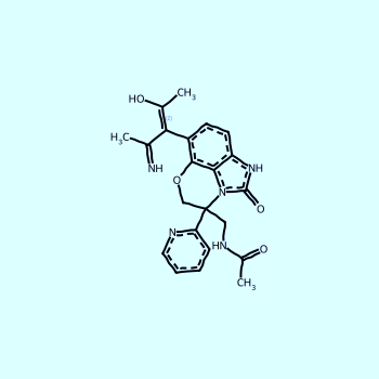 CC(=N)/C(=C(/C)O)c1ccc2[nH]c(=O)n3c2c1OCC3(CNC(C)=O)c1ccccn1